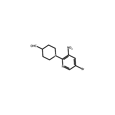 O=CC1CCN(c2ncc(Br)cc2[N+](=O)[O-])CC1